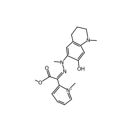 COC(=O)/C(=N\N(C)c1cc2c(cc1O)N(C)CCC2)c1cccc[n+]1C